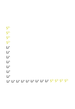 [Li+].[Li+].[Li+].[Li+].[Li+].[Li+].[Li+].[Li+].[Li+].[Li+].[Li+].[Li+].[Li+].[Li+].[Li+].[Li+].[S-2].[S-2].[S-2].[S-2].[S-2].[S-2].[S-2].[S-2]